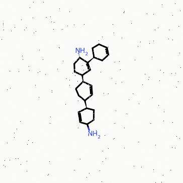 NC1C=C[C@@H](C2C=C[C@H](C3C=C([C@@H]4CC=CCC4)[C@@H](N)CC3)CC2)CC1